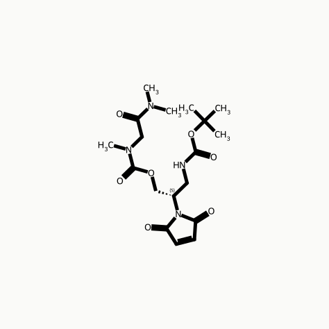 CN(C)C(=O)CN(C)C(=O)OC[C@H](CNC(=O)OC(C)(C)C)N1C(=O)C=CC1=O